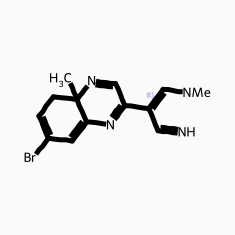 CN/C=C(\C=N)C1=NC2=CC(Br)=CCC2(C)N=C1